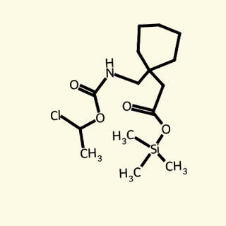 CC(Cl)OC(=O)NCC1(CC(=O)O[Si](C)(C)C)CCCCC1